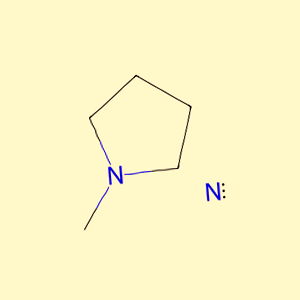 CN1CCCC1.[N]